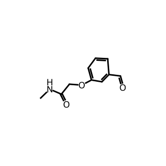 CNC(=O)COc1cccc(C=O)c1